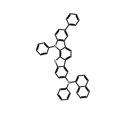 c1ccc(-c2ccc3c(c2)c2ccc4c5cc(N(c6ccccc6)c6cccc7ccccc67)ccc5sc4c2n3-c2ccccc2)cc1